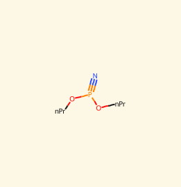 CCCOP(#N)OCCC